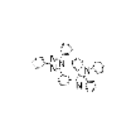 c1ccc(-c2nc(-c3ccccc3)nc(-c3cccc(-c4nc5ccccc5c5c4c4ccccc4n5-c4ccccc4)c3)n2)cc1